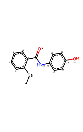 C[Se]c1ccccc1C(=O)Nc1ccc(O)cc1